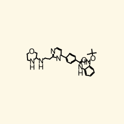 CC(C)(C)ONc1ccccc1NC(=O)c1ccc(-c2ccnc(CCNC3COCCN3)n2)cc1